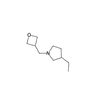 CCC1CCN(CC2COC2)C1